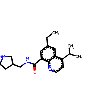 CCc1cc(C(=O)NCC2CCNC2)c2nccc(C(C)C)c2c1